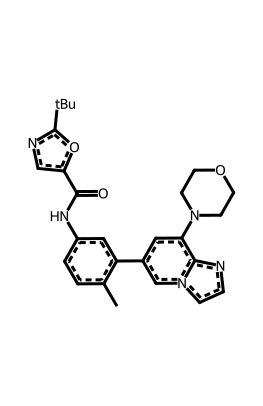 Cc1ccc(NC(=O)c2cnc(C(C)(C)C)o2)cc1-c1cc(N2CCOCC2)c2nccn2c1